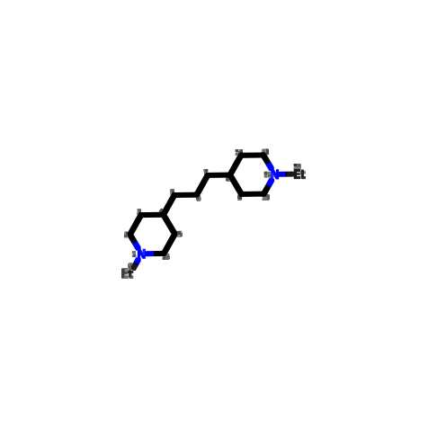 CCN1CCC(CCCC2CCN(CC)CC2)CC1